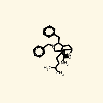 CC(C)CCC1(C(N)=O)C2CC3C(C=N2)C1N(Cc1ccccc1)C3Cc1ccccc1